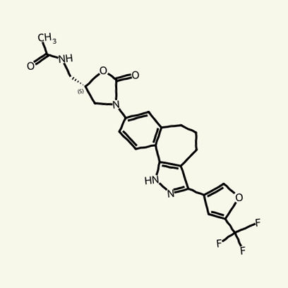 CC(=O)NC[C@H]1CN(c2ccc3c(c2)CCCc2c(-c4coc(C(F)(F)F)c4)n[nH]c2-3)C(=O)O1